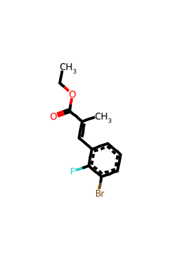 CCOC(=O)/C(C)=C/c1cccc(Br)c1F